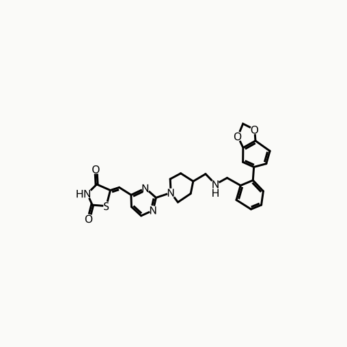 O=C1NC(=O)/C(=C/c2ccnc(N3CCC(CNCc4ccccc4-c4ccc5c(c4)OCO5)CC3)n2)S1